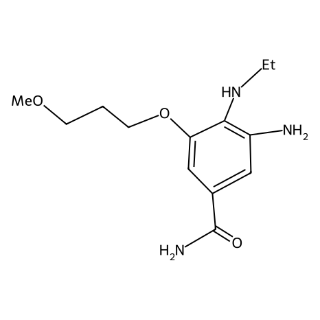 CCNc1c(N)cc(C(N)=O)cc1OCCCOC